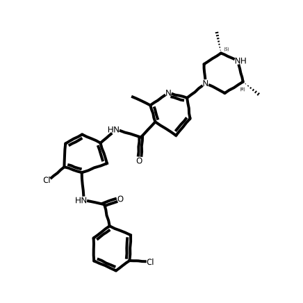 Cc1nc(N2C[C@@H](C)N[C@@H](C)C2)ccc1C(=O)Nc1ccc(Cl)c(NC(=O)c2cccc(Cl)c2)c1